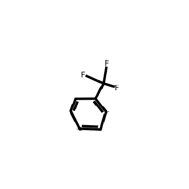 FC(F)(F)c1[c]c[c]cc1